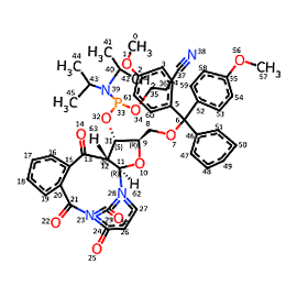 COc1ccc(C(OC[C@H]2O[C@@H]3[C@H](C(=O)c4ccccc4C(=O)n4c(=O)ccn3c4=O)[C@@H]2OP(OCCC#N)N(C(C)C)C(C)C)(c2ccccc2)c2ccc(OC)cc2)cc1